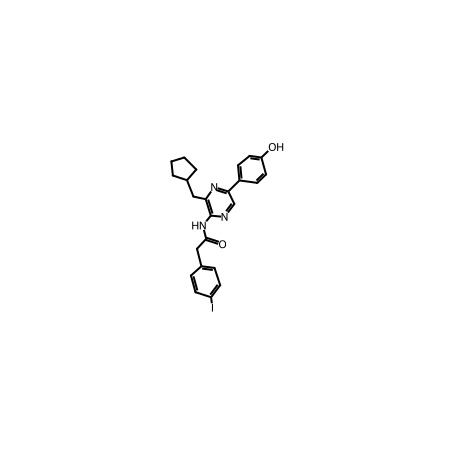 O=C(Cc1ccc(I)cc1)Nc1ncc(-c2ccc(O)cc2)nc1CC1CCCC1